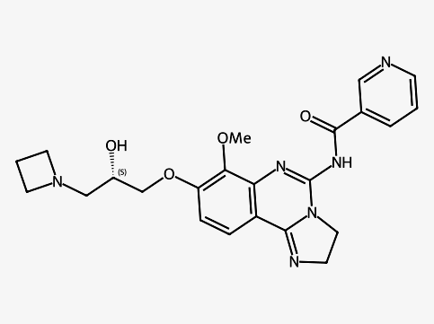 COc1c(OC[C@@H](O)CN2CCC2)ccc2c1N=C(NC(=O)c1cccnc1)N1CCN=C21